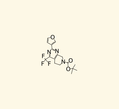 CC(C)(C)OC(=O)N1CCc2c(nc(-c3ccoc3)nc2C(F)(F)F)C1